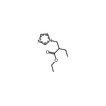 CCOC(=O)C(CC)Cn1ccnc1